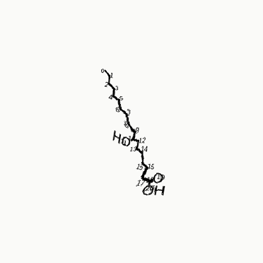 CCCCCCCCCCC(O)CCCCC=CC(=O)O